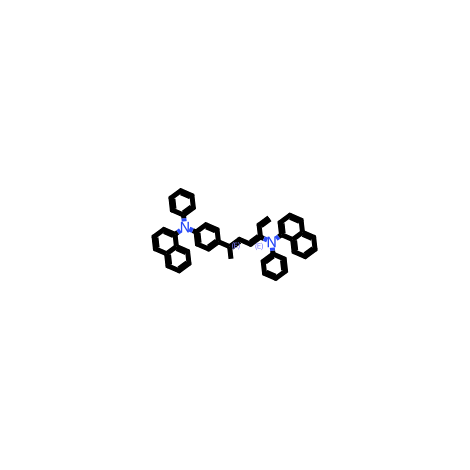 C=C/C(=C\C=C(/C)c1ccc(N(c2ccccc2)c2cccc3ccccc23)cc1)N(c1ccccc1)c1cccc2ccccc12